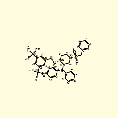 O=S(=O)(Cc1ccccc1)N1CC[C@@H](OCc2cc(C(F)(F)F)cc(C(F)(F)F)c2)[C@@H](C(c2ccccc2)c2ccccc2)C1